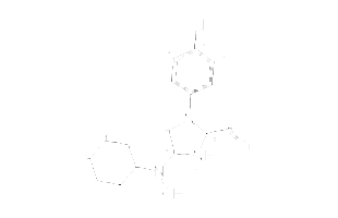 CN(C1CCCCC1)C1CN(c2ccc(Cl)cc2)C(C=O)N1